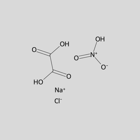 O=C(O)C(=O)O.O=[N+]([O-])O.[Cl-].[Na+]